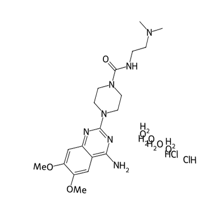 COc1cc2nc(N3CCN(C(=O)NCCN(C)C)CC3)nc(N)c2cc1OC.Cl.Cl.O.O.O.O